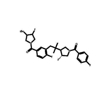 CC(C)(C)C1CN(C(=O)c2ccc(F)c(CC(C)(C)C3CN(C(=O)c4ccc(F)cc4)C[C@@H]3F)c2)CC1F